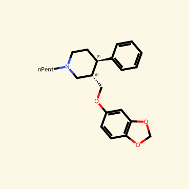 CCCCCN1CC[C@@H](c2ccccc2)[C@H](COc2ccc3c(c2)OCO3)C1